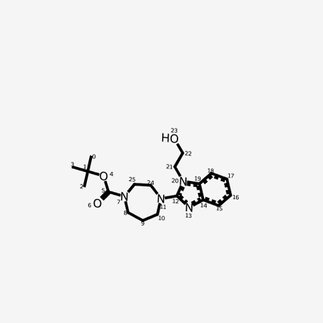 CC(C)(C)OC(=O)N1CCCN(c2nc3ccccc3n2CCO)CC1